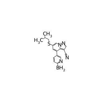 Bc1ccc(-c2cc(SCC(C)C)cn3ncc(C#N)c23)cn1